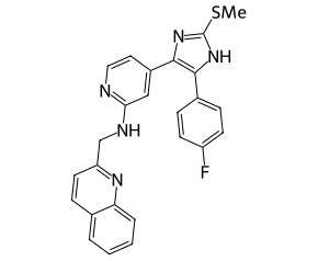 CSc1nc(-c2ccnc(NCc3ccc4ccccc4n3)c2)c(-c2ccc(F)cc2)[nH]1